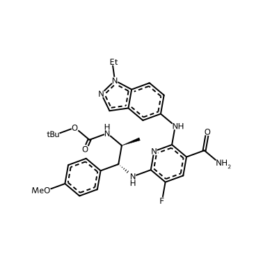 CCn1ncc2cc(Nc3nc(N[C@H](c4ccc(OC)cc4)[C@H](C)NC(=O)OC(C)(C)C)c(F)cc3C(N)=O)ccc21